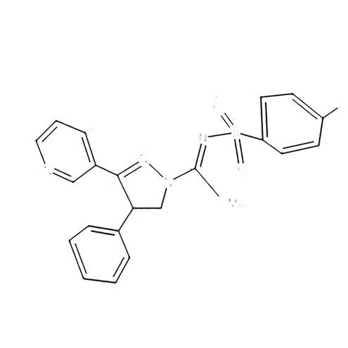 CS/C(=N\S(=O)(=O)c1ccc(Cl)cc1)N1CC(c2ccccc2)C(c2cccnc2)=N1